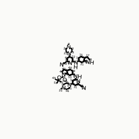 CN1CCN(c2cc(C#N)nc(Nc3ccc4cc[nH]c4c3)c2)CC1.CN1CCN(c2cc(C#N)nc(Nc3ccc4ccn(C(=O)OC(C)(C)C)c4c3)c2)CC1